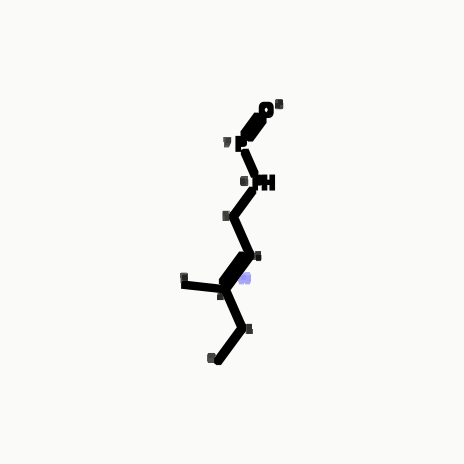 CC/C(C)=C/CPP=O